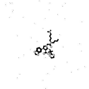 CCCCN(CCCCN(C)C)C(=O)CN1C[C@H](c2ccc3c(c2)OCO3)[C@H](C(=O)O)[C@H]1CC(C)(C)C1OCCO1